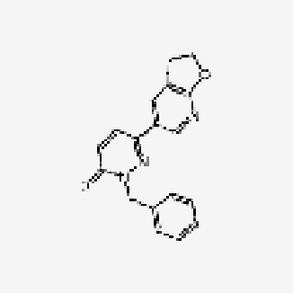 O=c1ccc(-c2cnc3c(c2)CCO3)nn1Cc1ccccc1